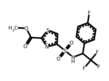 COC(=O)c1nc(S(=O)(=O)NC(c2ccc(F)cc2)C(F)(F)F)cs1